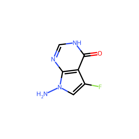 Nn1cc(F)c2c(=O)[nH]cnc21